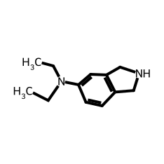 CCN(CC)c1ccc2c(c1)CNC2